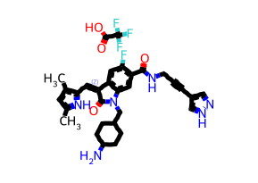 Cc1cc(C)c(/C=C2\C(=O)N(CC3CCC(N)CC3)c3cc(C(=O)NCC#Cc4cn[nH]c4)c(F)cc32)[nH]1.O=C(O)C(F)(F)F